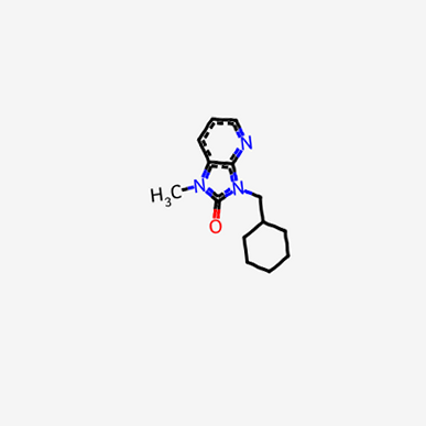 Cn1c(=O)n(CC2CCCCC2)c2ncccc21